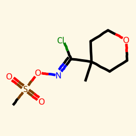 CC1(/C(Cl)=N/OS(C)(=O)=O)CCOCC1